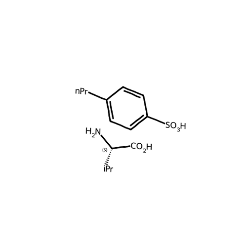 CC(C)[C@H](N)C(=O)O.CCCc1ccc(S(=O)(=O)O)cc1